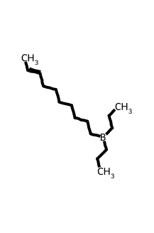 CC=CCCCCCCCB(CCC)CCC